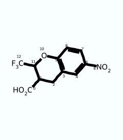 O=C(O)C1Cc2cc([N+](=O)[O-])ccc2OC1C(F)(F)F